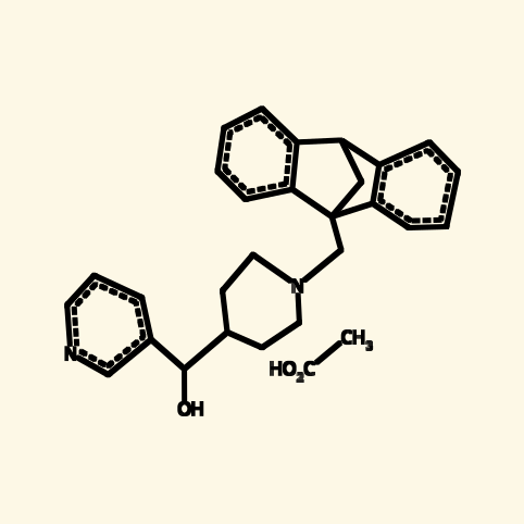 CC(=O)O.OC(c1cccnc1)C1CCN(CC23CC(c4ccccc42)c2ccccc23)CC1